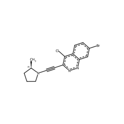 C[C@@H]1CCCN1C#Cc1nnc2cc(Br)ccc2c1Cl